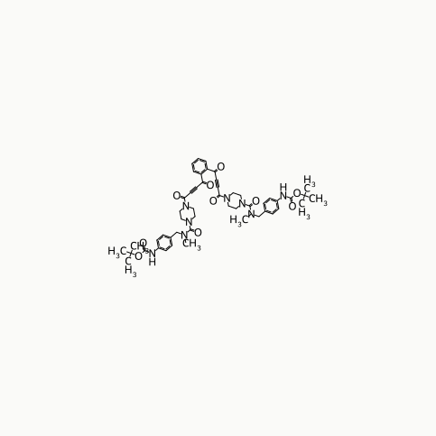 CN(Cc1ccc(NC(=O)OC(C)(C)C)cc1)C(=O)N1CCN(C(=O)C#CC(=O)c2ccccc2C(=O)C#CC(=O)N2CCN(C(=O)N(C)Cc3ccc(NC(=O)OC(C)(C)C)cc3)CC2)CC1